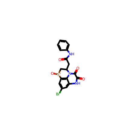 O=C(CC1C[S+]([O-])c2cc(Br)cc3[nH]c(=O)c(=O)n1c23)Nc1ccccc1